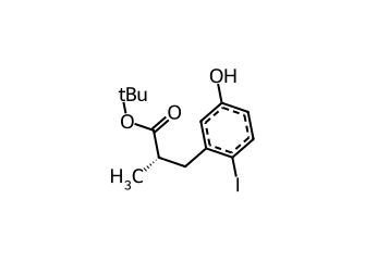 C[C@@H](Cc1cc(O)ccc1I)C(=O)OC(C)(C)C